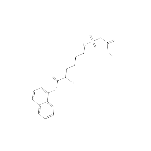 CC(C)(C)OC(=O)NS(=O)(=O)NCCCCC(N)C(=O)Nc1cccc2cccnc12